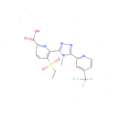 CCS(=O)(=O)c1ccc(C(=O)O)nc1-c1nnc(-c2cc(C(F)(F)F)ccn2)n1C